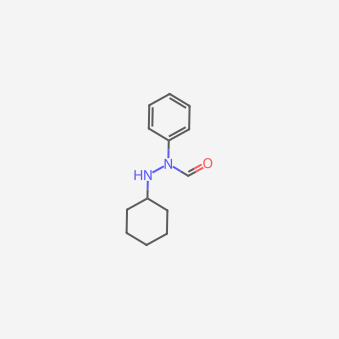 O=CN(NC1CCCCC1)c1ccccc1